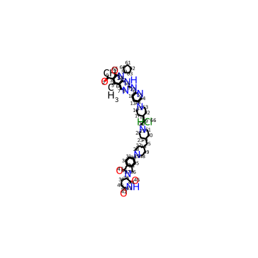 CC(=O)c1c(C)c2cnc(Nc3ccc(N4CCC(CCN5CCC(CC6CCN(c7ccc8c(c7)CN(C7CCC(=O)NC7=O)C8=O)CC6)CC5)CC4)cn3)nc2n(C2CCCC2)c1=O.Cl